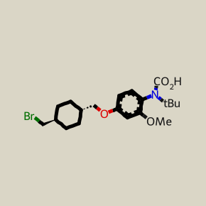 COc1cc(OC[C@H]2CC[C@H](CBr)CC2)ccc1N(C(=O)O)C(C)(C)C